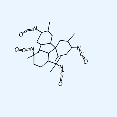 CC1CC(C2(C3CC(C)(N=C=O)CCC3C(C)(C)N=C=O)CC(C)C(N=C=O)CC2C)C(C)CC1N=C=O